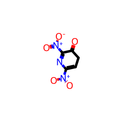 O=C1CC=C([N+](=O)[O-])N=C1[N+](=O)[O-]